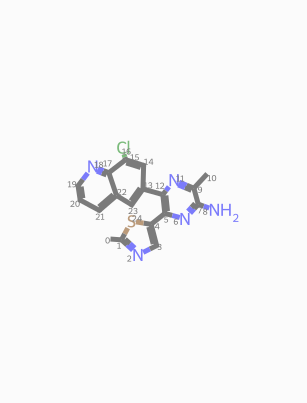 Cc1ncc(-c2nc(N)c(C)nc2-c2cc(Cl)c3ncccc3c2)s1